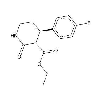 CCOC(=O)[C@@H]1C(=O)NCC[C@H]1c1ccc(F)cc1